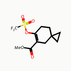 COC(=O)C1=C(OS(=O)(=O)C(F)(F)F)CCC2(CC2)C1